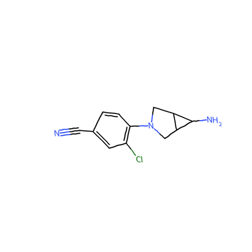 N#Cc1ccc(N2CC3C(N)C3C2)c(Cl)c1